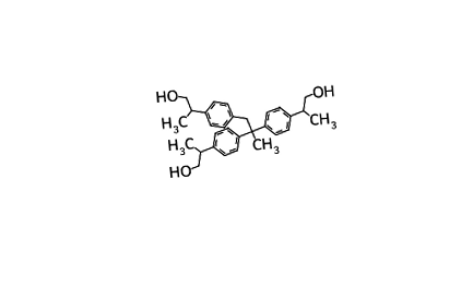 CC(CO)c1ccc(CC(C)(c2ccc(C(C)CO)cc2)c2ccc(C(C)CO)cc2)cc1